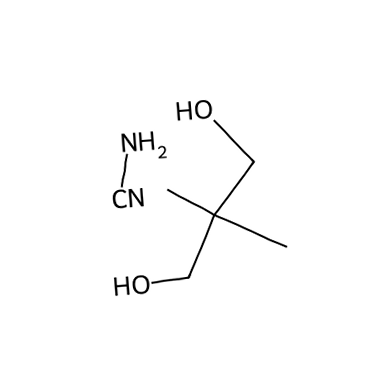 CC(C)(CO)CO.N#CN